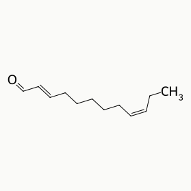 CC/C=C\CCCCCC=CC=O